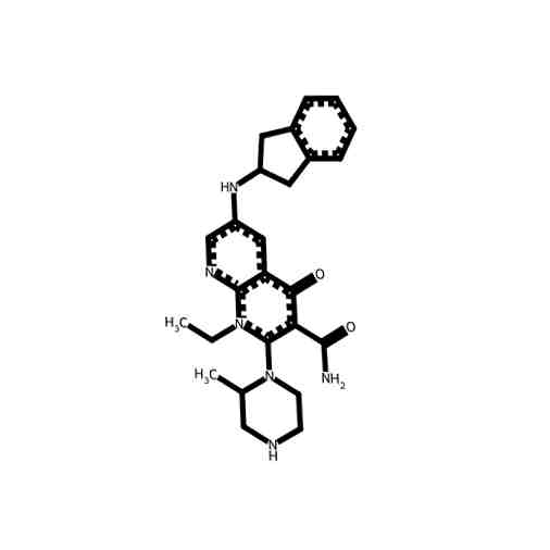 CCn1c(N2CCNCC2C)c(C(N)=O)c(=O)c2cc(NC3Cc4ccccc4C3)cnc21